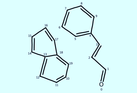 O=CC=Cc1ccccc1.c1ccc2ccccc2c1